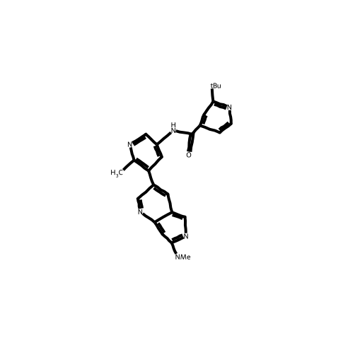 CNc1cc2ncc(-c3cc(NC(=O)c4ccnc(C(C)(C)C)c4)cnc3C)cc2cn1